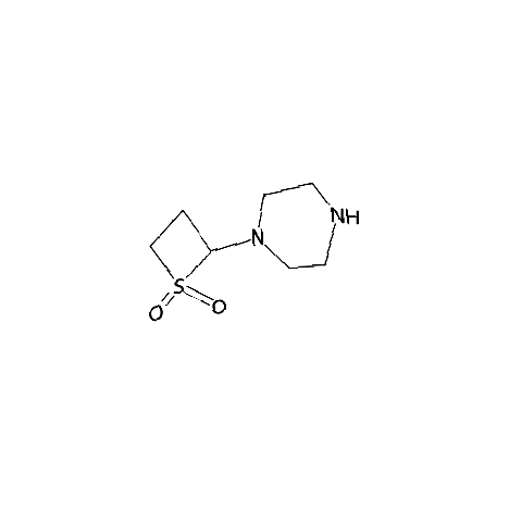 O=S1(=O)CCC1N1CCNCC1